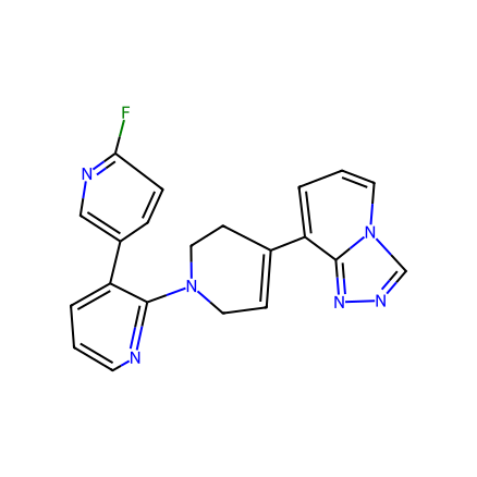 Fc1ccc(-c2cccnc2N2CC=C(c3cccn4cnnc34)CC2)cn1